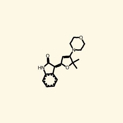 CC1(C)O/C(=C2/C(=O)Nc3c[c]ccc32)C=C1N1CCOCC1